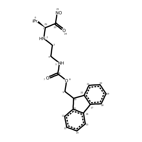 CC(C)[C@H](NCCNC(=O)OCC1c2ccccc2-c2ccccc21)C(=O)N=O